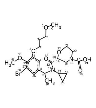 COCCCOc1cc(C(C)N(C(=O)[C@H]2CN(C(=O)O)CCO2)C2CC2)cc(Br)c1OC